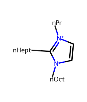 CCCCCCCCn1cc[n+](CCC)c1CCCCCCC